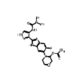 CC(C)N(C(=O)Nc1c[nH]nc1-c1nc2cc(F)c(N3CCOCC3OC(=O)C(F)(F)F)cc2[nH]1)C(C)C